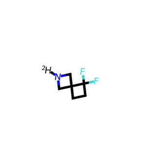 [2H]N1CC2(CCC2(F)F)C1